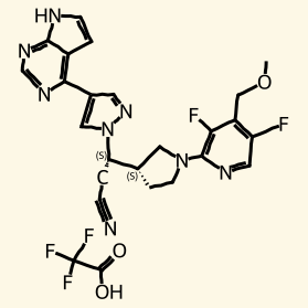 COCc1c(F)cnc(N2CC[C@H]([C@H](CC#N)n3cc(-c4ncnc5[nH]ccc45)cn3)C2)c1F.O=C(O)C(F)(F)F